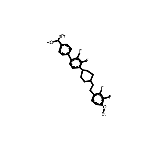 CCCC(O)c1ccc(-c2ccc(C3CCC(CCc4ccc(OCC)c(F)c4F)CC3)c(F)c2F)cc1